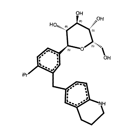 CC(C)c1ccc([C@@H]2O[C@@H](CO)[C@@H](O)[C@H](O)[C@H]2O)cc1Cc1ccc2c(c1)CCCN2